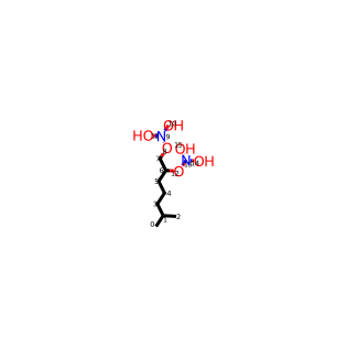 CC(C)CCCC(CON(O)O)ON(O)O